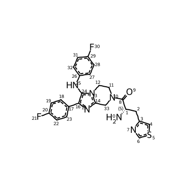 N[C@@H](Cc1cscn1)C(=O)N1CCn2c(nc(-c3ccc(F)cc3)c2Nc2ccc(F)cc2)C1